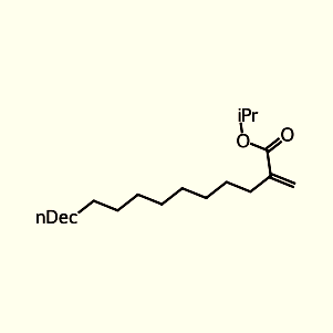 C=C(CCCCCCCCCCCCCCCCCC)C(=O)OC(C)C